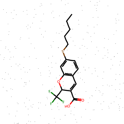 CCCCCSc1ccc2c(c1)OC(C(F)(F)F)C(C(=O)O)=C2